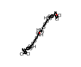 CN1Cc2c(Cl)cc(Cl)cc2C(c2ccc(S(=O)(=O)NCCOCCOCCOCCNC(=O)CCC(=O)NCCOCCOCCOCCNS(=O)(=O)c3ccc(C4CN(C)Cc5c(Cl)cc(Cl)cc54)cc3)cc2)C1